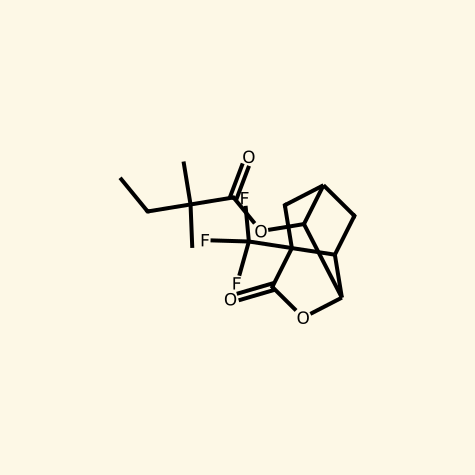 CCC(C)(C)C(=O)OC1C2CC3C1OC(=O)C3(C(F)(F)F)C2